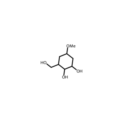 COC1CC(O)C(O)C(CO)C1